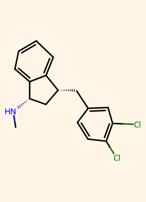 CN[C@H]1C[C@@H](Cc2ccc(Cl)c(Cl)c2)c2ccccc21